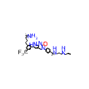 C=CCNCCCN[C@@H](C)c1ccc(-n2cc3cc(-c4cc(CCC[C@H](C)N)cc(C(F)(F)F)c4)[nH]c3nc2=O)cc1